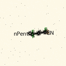 CCCCCC1CCc2c(cc(F)c(C#Cc3ccc(C#Cc4ccc(SC#N)c(F)c4)c(C)c3)c2F)C1